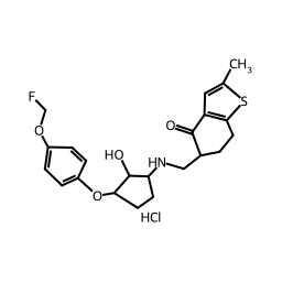 Cc1cc2c(s1)CCC(CNC1CCC(Oc3ccc(OCF)cc3)C1O)C2=O.Cl